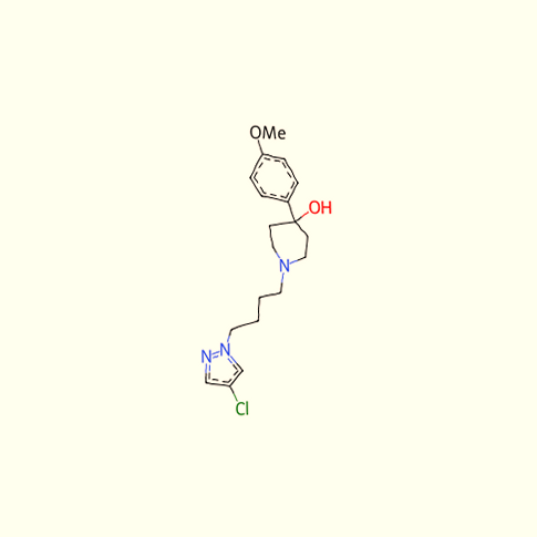 COc1ccc(C2(O)CCN(CCCCn3cc(Cl)cn3)CC2)cc1